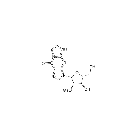 CO[C@@H]1[C@H](O)[C@@H](CO)O[C@H]1n1cnc2c(=O)n3cc[nH]c3nc21